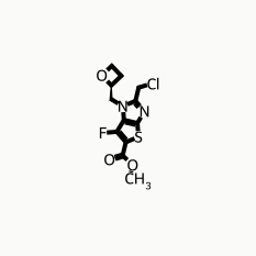 COC(=O)c1sc2nc(CCl)n(C[C@@H]3CCO3)c2c1F